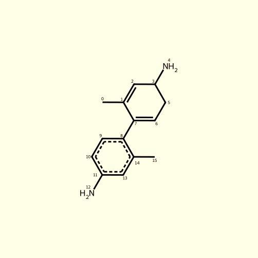 CC1=CC(N)CC=C1c1ccc(N)cc1C